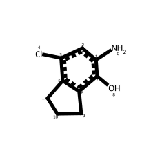 Nc1cc(Cl)c2c(c1O)CCC2